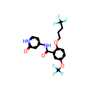 O=C(Nc1cc[nH]c(=O)c1)c1cc(OC(F)(F)F)ccc1OCCCC(F)(F)F